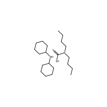 C1CCC(NC2CCCCC2)CC1.CCCCN(CCCC)C(=S)S